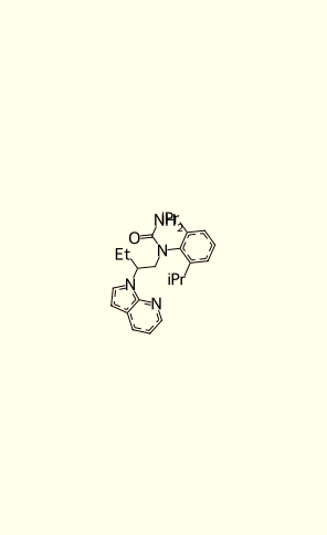 CCC(CN(C(N)=O)c1c(C(C)C)cccc1C(C)C)n1ccc2cccnc21